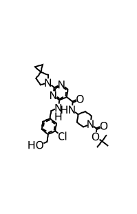 CC(C)(C)OC(=O)N1CCC(NC(=O)c2cnc(N3CCC4(CC4)C3)nc2NCc2ccc(CO)c(Cl)c2)CC1